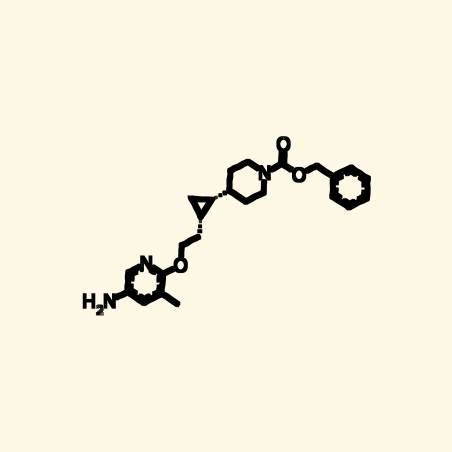 Cc1cc(N)cnc1OCC[C@@H]1C[C@@H]1C1CCN(C(=O)OCc2ccccc2)CC1